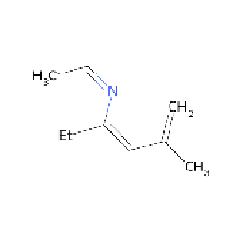 C=C(C)/C=C(CC)\N=C/C